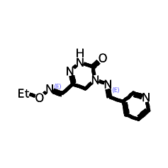 CCO/N=C/C1=NNC(=O)N(/N=C/c2cccnc2)C1